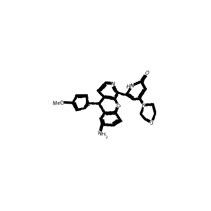 COc1ccc(C2c3cc(N)ccc3Oc3c2ccnc3-c2cc(N3CCOCC3)cc(=O)[nH]2)cc1